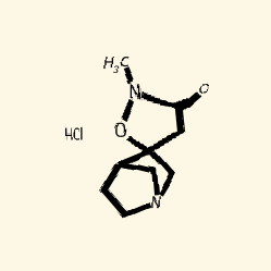 CN1OC2(CC1=O)CN1CCC2C1.Cl